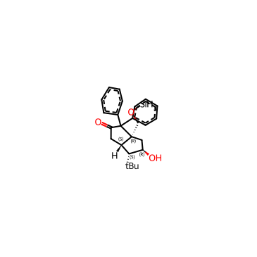 CC(C)(C)[C@H]1[C@H](O)C[C@@]2(CO[SiH3])[C@H]1CC(=O)C2(c1ccccc1)c1ccccc1